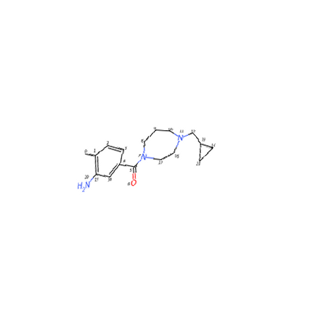 Cc1ccc(C(=O)N2CCCN(CC3CC3)CC2)cc1N